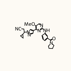 COc1cnc(Nc2cccc(C(=O)N3CCCC3)c2)nc1-c1cnn(C(CC#N)C2CC2)c1